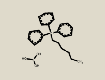 CCCCCC[PH](c1ccccc1)(c1ccccc1)c1ccccc1.OB(O)O